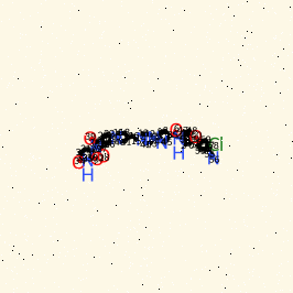 CC1(C)[C@H](NC(=O)c2ccc(N3CCN(CCC4CCN(c5ccc6c(c5)C(=O)N(C5CCC(=O)NC5=O)C6=O)CC4)CC3)nc2)C(C)(C)[C@H]1Oc1ccc(C#N)c(Cl)c1